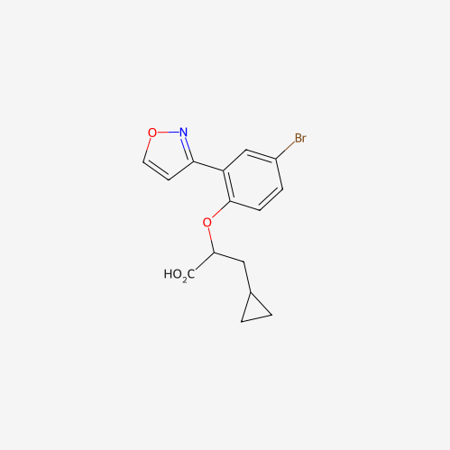 O=C(O)C(CC1CC1)Oc1ccc(Br)cc1-c1ccon1